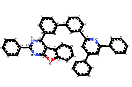 c1ccc(-c2cc(-c3ccccc3)nc(-c3cccc(-c4cccc(-c5nc(-c6ccccc6)nc6oc7ccccc7c56)c4)c3)c2)cc1